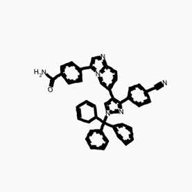 N#Cc1ccc(-c2nn(C(c3ccccc3)(c3ccccc3)C3C=CC=CC3)cc2-c2ccc3ncc(-c4ccc(C(N)=O)cc4)n3c2)cc1